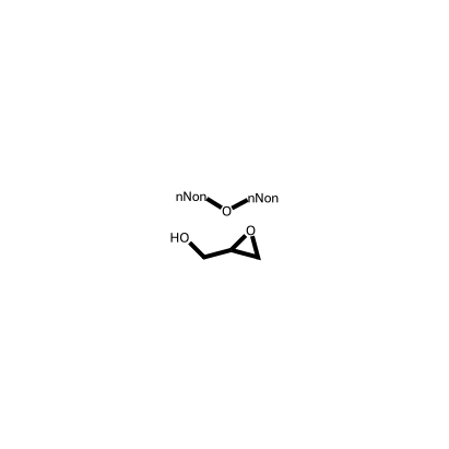 CCCCCCCCCOCCCCCCCCC.OCC1CO1